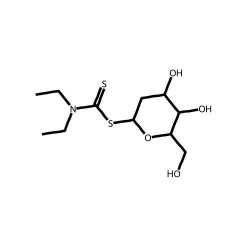 CCN(CC)C(=S)SC1CC(O)C(O)C(CO)O1